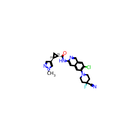 Cn1cc([C@H]2C[C@@H]2C(=O)Nc2cc3cc(N4CCC(F)(C#N)CC4)c(Cl)cc3cn2)cn1